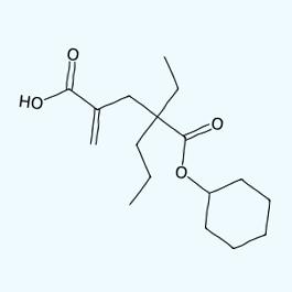 C=C(CC(CC)(CCC)C(=O)OC1CCCCC1)C(=O)O